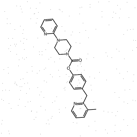 Cc1cccnc1Cc1ccc(OC(=O)N2CCN(c3ccccn3)CC2)cc1